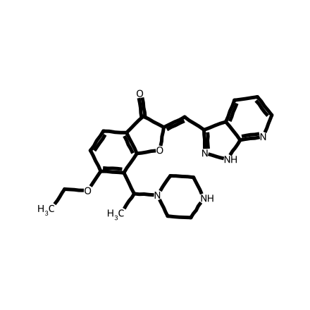 CCOc1ccc2c(c1C(C)N1CCNCC1)O/C(=C\c1n[nH]c3ncccc13)C2=O